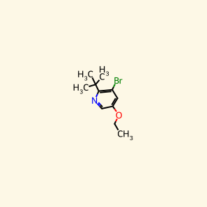 CCOc1cnc(C(C)(C)C)c(Br)c1